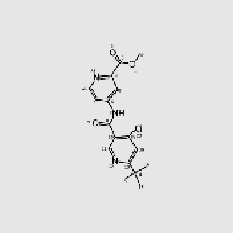 COC(=O)c1cc(NC(=O)c2cnc(C(C)(C)C)cc2Cl)ccn1